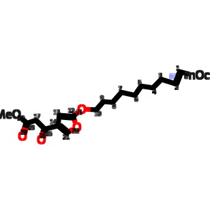 CCCCCCCC/C=C/CCCCCCCCOc1cc(C(=O)CC(=O)OC)co1